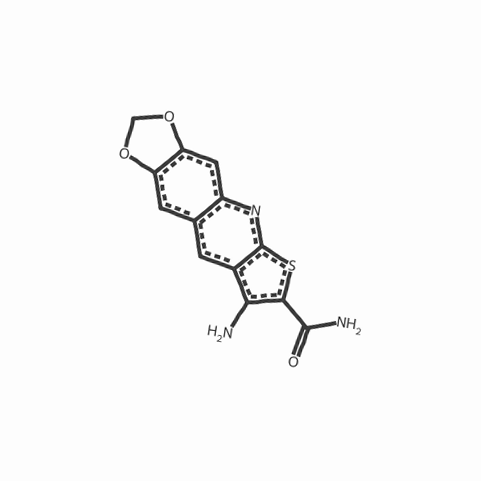 NC(=O)c1sc2nc3cc4c(cc3cc2c1N)OCO4